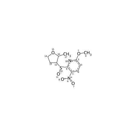 COc1ccc([N+](=O)[O-])c([S+]([O-])C2CCOC2C)n1